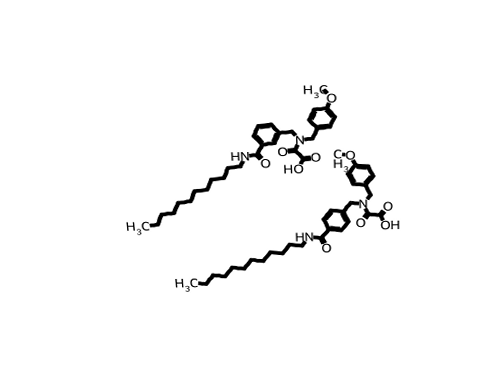 CCCCCCCCCCCCNC(=O)c1ccc(CN(Cc2ccc(OC)cc2)C(=O)C(=O)O)cc1.CCCCCCCCCCCCNC(=O)c1cccc(CN(Cc2ccc(OC)cc2)C(=O)C(=O)O)c1